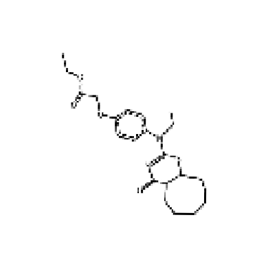 CCOC(=O)COc1ccc(N(CC)C2=NC(=O)C3CCCCCCC3S2)cc1